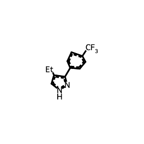 [CH2]Cc1c[nH]nc1-c1ccc(C(F)(F)F)cc1